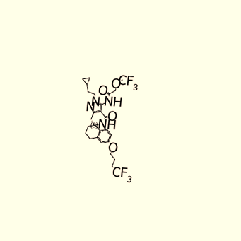 O=C(COC(F)(F)F)Nc1c2c(nn1CCC1CC1)C[C@]1(CCCc3cc(OCCCC(F)(F)F)ccc31)NC2=O